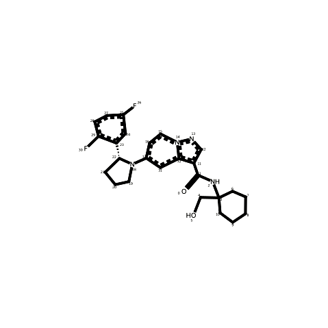 O=C(NC1(CO)CCCCC1)c1cnn2ccc(N3CCC[C@@H]3c3cc(F)ccc3F)cc12